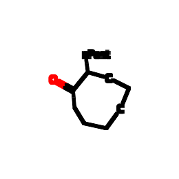 CCCCCC1CCCCCCC1=O